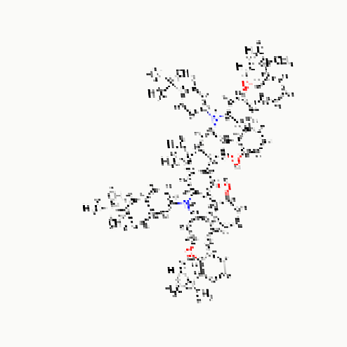 CC(C)(C)c1ccc(N(c2ccc3c(c2)oc2c([Si](C)(C)C)cccc23)c2cc3c(c4oc5ccccc5c24)-c2c(cc(N(c4ccc5cc(C(C)(C)C)ccc5c4)c4ccc5c(c4)oc4c([Si](C)(C)C)cccc45)c4c2oc2ccccc24)C3(C)C)cc1